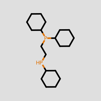 C1CCC(PCCP(C2CCCCC2)C2CCCCC2)CC1